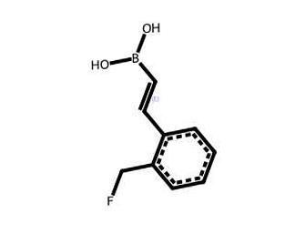 OB(O)/C=C/c1ccccc1CF